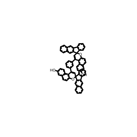 Oc1ccc2c3c(ccc2c1)OC1(C=C3c2cccc(C3=CC4(Oc5ccc6cc(O)ccc6c53)c3ccccc3-c3cc5ccccc5cc34)c2)c2ccccc2-c2cc3ccccc3cc21